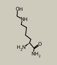 NC(=O)[C@@H](N)CCCCNCO